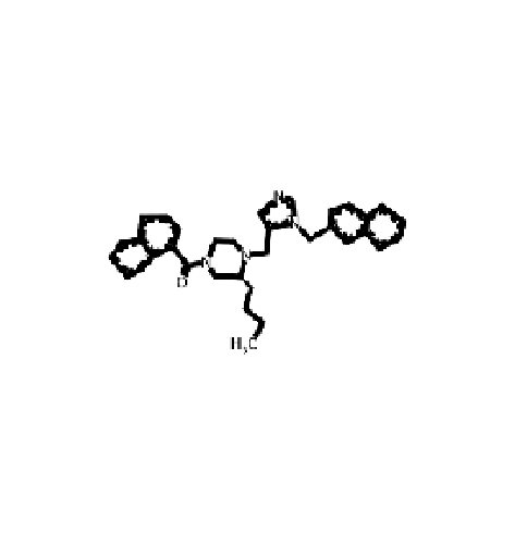 CCCC[C@H]1CN(C(=O)c2cccc3ccccc23)CCN1Cc1cncn1Cc1ccc2ccccc2c1